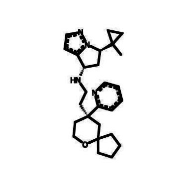 CC1([C@H]2C[C@H](NCC[C@@]3(c4ccccn4)CCOC4(CCCC4)C3)c3ccnn32)CC1